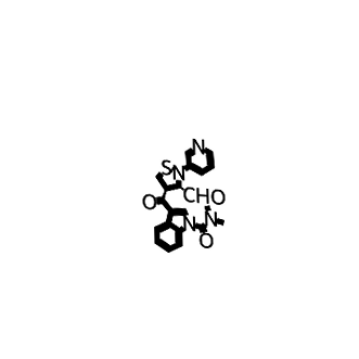 CN(C)C(=O)n1cc(C(=O)[C@H]2CSN(c3cccnc3)[C@@H]2C=O)c2ccccc21